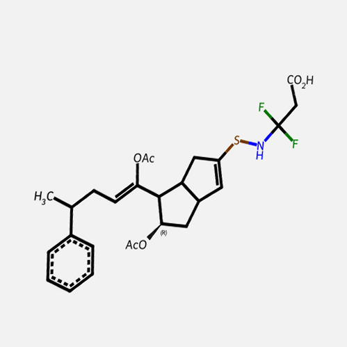 CC(=O)OC(=CCC(C)c1ccccc1)C1C2CC(SNC(F)(F)CC(=O)O)=CC2C[C@H]1OC(C)=O